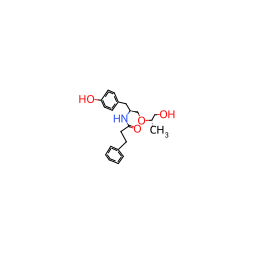 C[C@@H](CO)OC[C@H](Cc1ccc(O)cc1)NC(=O)CCc1ccccc1